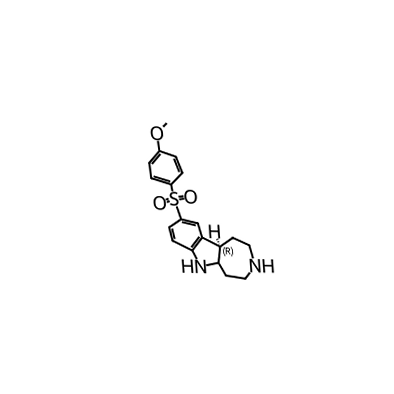 COc1ccc(S(=O)(=O)c2ccc3c(c2)[C@H]2CCNCCC2N3)cc1